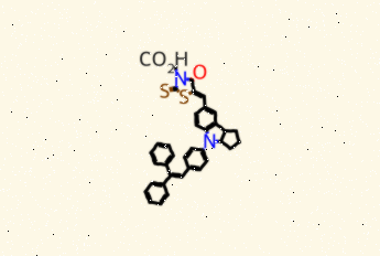 O=C(O)CN1C(=O)/C(=C/c2ccc3c(c2)C2CCCC2N3c2ccc(C=C(c3ccccc3)c3ccccc3)cc2)SC1=S